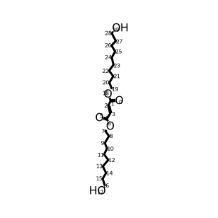 O=C(C=CC(=O)OCCCCCCCCCCO)OCCCCCCCCCCO